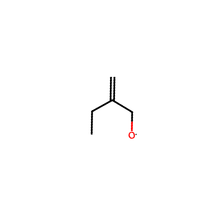 C=C(CC)C[O]